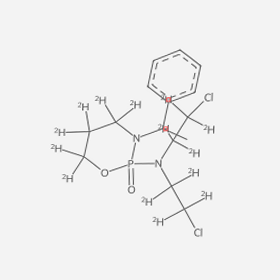 [2H]C([2H])(Cl)C([2H])([2H])N(C([2H])([2H])C([2H])([2H])Cl)P1(=O)OC([2H])([2H])C([2H])([2H])C([2H])([2H])N1C(C)c1ccccc1